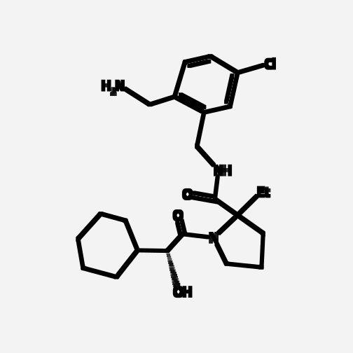 CCC1(C(=O)NCc2cc(Cl)ccc2CN)CCCN1C(=O)[C@H](O)C1CCCCC1